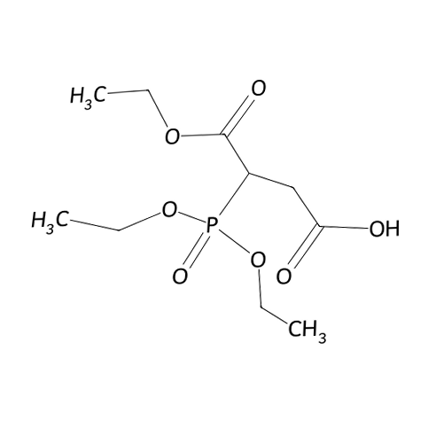 CCOC(=O)C(CC(=O)O)P(=O)(OCC)OCC